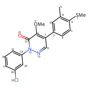 COc1c(-c2ccc(SC)c(C)c2)cnn(-c2cccc(Cl)c2)c1=O